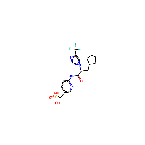 O=C(Nc1ccc(CP(=O)(O)O)cn1)C(CC1CCCC1)n1cnc(C(F)(F)F)c1